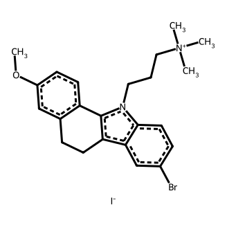 COc1ccc2c(c1)CCc1c-2n(CCC[N+](C)(C)C)c2ccc(Br)cc12.[I-]